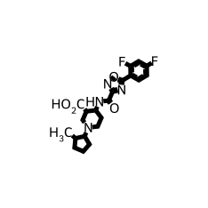 CC1CCCC1N1CCC(NC(=O)c2noc(-c3ccc(F)cc3F)n2)C(C(=O)O)C1